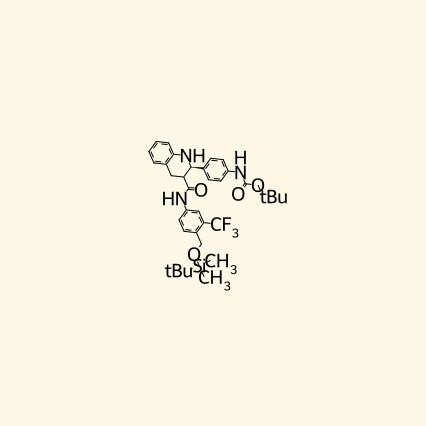 CC(C)(C)OC(=O)Nc1ccc([C@@H]2Nc3ccccc3CC2C(=O)Nc2ccc(CO[Si](C)(C)C(C)(C)C)c(C(F)(F)F)c2)cc1